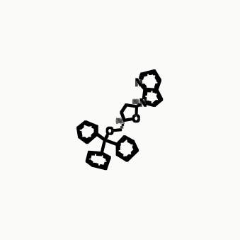 c1ccc(C(OC[C@@H]2CC[C@@H](n3ccc4cccnc43)O2)(c2ccccc2)c2ccccc2)cc1